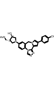 CNC[C@H]1CN(c2ccc3c(c2)Cn2cc(-c4ccc(C#N)cc4)cc2-c2nncn2-3)C[C@@H]1O